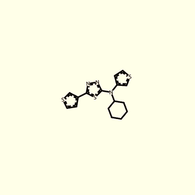 c1cc(-c2nnc(N(c3ccsc3)C3CCCCC3)s2)cs1